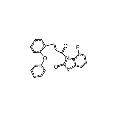 O=C(C=Cc1ccccc1Oc1ccccc1)n1c(=O)sc2cccc(F)c21